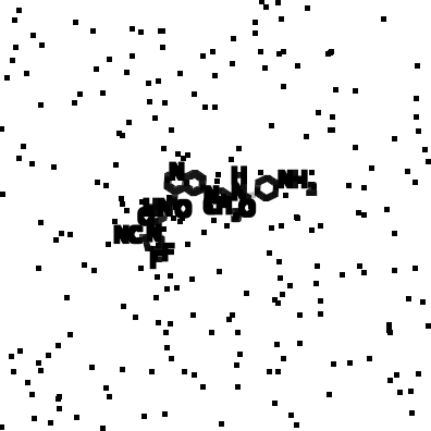 CN(CCNC(=O)[C@H]1CC[C@H](N)CC1)c1ccc2nccc(C(=O)NCC(=O)N3CC(F)(F)C[C@H]3C#N)c2c1